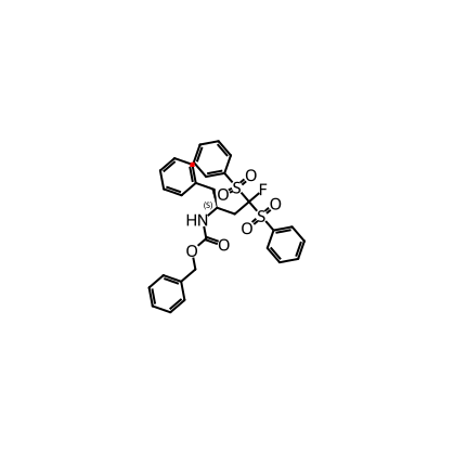 O=C(N[C@@H](Cc1ccccc1)CC(F)(S(=O)(=O)c1ccccc1)S(=O)(=O)c1ccccc1)OCc1ccccc1